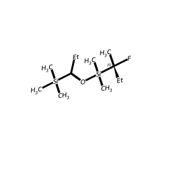 CCC(O[Si](C)(C)[C@](C)(F)CC)[Si](C)(C)C